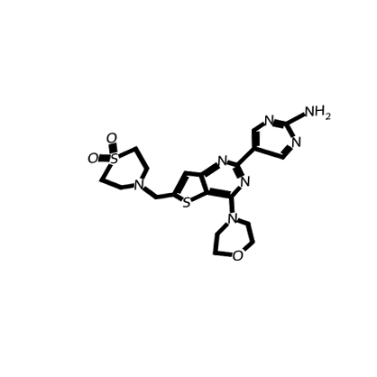 Nc1ncc(-c2nc(N3CCOCC3)c3sc(CN4CCS(=O)(=O)CC4)cc3n2)cn1